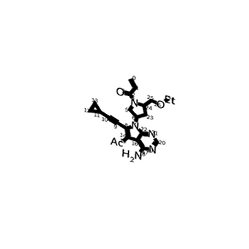 C=CC(=O)N1CC(n2c(C#CC3CC3)c(C(C)=O)c3c(N)ncnc32)CC1COCC